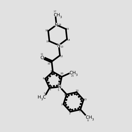 Cc1ccc(-n2c(C)cc(C(=O)CN3CCN(C)CC3)c2C)cc1